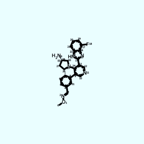 CON=Cc1cccc(-c2cncc(-c3nc4c(F)cccc4[nH]3)c2N2CC[C@H](N)C2)c1